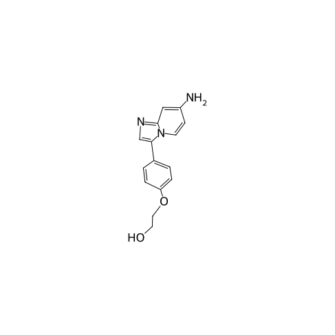 Nc1ccn2c(-c3ccc(OCCO)cc3)cnc2c1